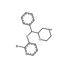 Brc1ncccc1OC(c1ccccc1)C1CNCCO1